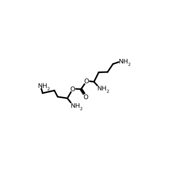 NCCCC(N)OC(=O)OC(N)CCCN